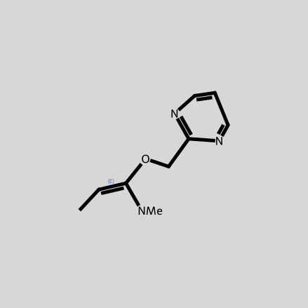 C/C=C(\NC)OCc1ncccn1